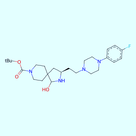 CC(C)(C)OC(=O)N1CCC2(CC1)C[C@@H](CCN1CCN(c3ccc(F)cc3)CC1)NC2O